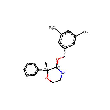 C[C@]1(c2ccccc2)OCCN[C@@H]1OCc1cc(C(F)(F)F)cc(C(F)(F)F)c1